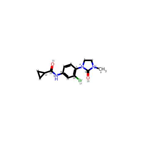 CN1CCN(c2ccc(NC(=O)C3CC3)cc2Br)C1=O